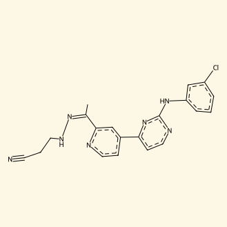 C/C(=N/NCCC#N)c1cc(-c2ccnc(Nc3cccc(Cl)c3)n2)ccn1